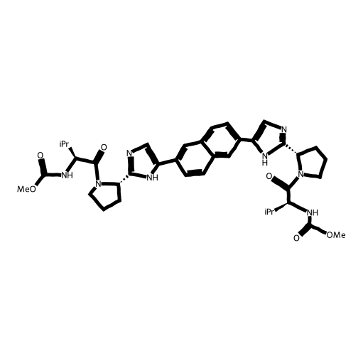 COC(=O)N[C@H](C(=O)N1CCC[C@H]1c1ncc(-c2ccc3cc(-c4cnc([C@@H]5CCCN5C(=O)[C@@H](NC(=O)OC)C(C)C)[nH]4)ccc3c2)[nH]1)C(C)C